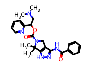 CN(C)CC(OC(=O)N1Cc2c(NC(=O)c3ccccc3)n[nH]c2C1(C)C)c1ccccn1